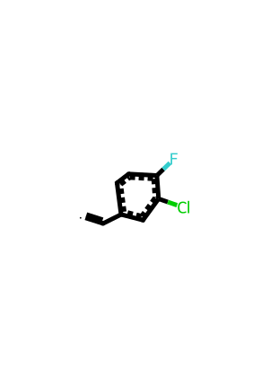 [CH]=Cc1ccc(F)c(Cl)c1